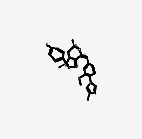 COc1cc(/C=C2/O[C@H](C)CN3C2=NO[C@]3(C)c2ccc(F)cc2)ccc1-n1cnc(C)c1